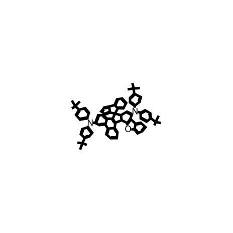 CC(C)(C)c1ccc(N(C2=CC3C(c4oc5ccccc5c42)c2c(c4ccc(N(c5ccc(C(C)(C)C)cc5)c5ccc(C(C)(C)C)cc5)cc4c4ccccc24)C32c3ccccc3-c3ccccc32)c2ccc(C(C)(C)C)cc2)cc1